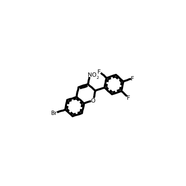 O=[N+]([O-])C1=Cc2cc(Br)ccc2OC1c1cc(F)c(F)cc1F